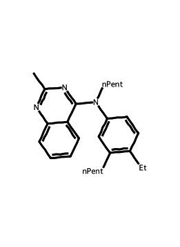 CCCCCc1cc(N(CCCCC)c2nc(C)nc3ccccc23)ccc1CC